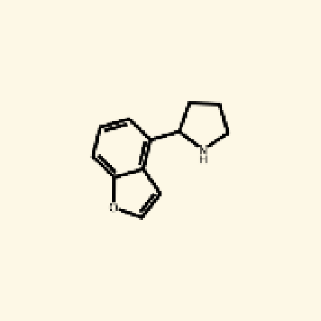 c1cc(C2CCCN2)c2ccoc2c1